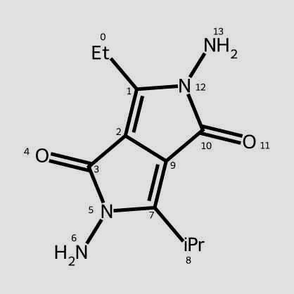 CCC1=C2C(=O)N(N)C(C(C)C)=C2C(=O)N1N